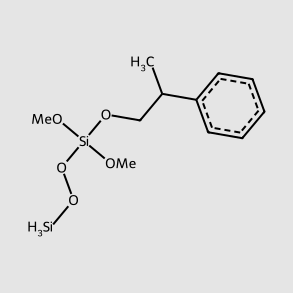 CO[Si](OC)(OCC(C)c1ccccc1)OO[SiH3]